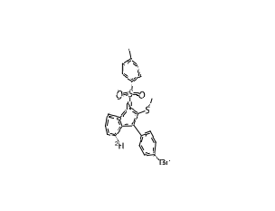 [2H]c1cccc2c1c(-c1ccc(Br)cc1)c(SC)n2S(=O)(=O)c1ccc(C)cc1